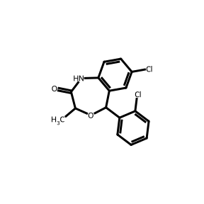 CC1OC(c2ccccc2Cl)c2cc(Cl)ccc2NC1=O